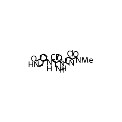 CNC(=O)c1ncc(NC(=O)/C(C=N)=C(/Nc2cccc3c(=O)[nH]ccc23)C(F)(F)F)cc1Cl